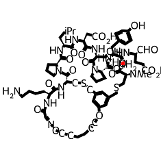 CN[C@@H](CSCc1cc2cc(c1)OCCCCCCO/N=C/C(=O)N[C@@H](CCCCN)C(=O)N[C@H](C(=O)N1CCC[C@H]1C(=O)N[C@@H](CC(C)C)C(=O)N[C@@H](CC(=O)O)C(=O)N[C@H](C(=O)N1CCC[C@H]1C(=O)N[C@@H](Cc1ccc(O)cc1)C(=O)N[C@H](C=O)CCC(=O)O)[C@@H](C)O)CSC2)C(N)=O